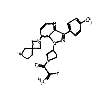 C=C(F)C(=O)N1CC(n2nc(-c3ccc(C(F)(F)F)cc3)c3nccc(N4CC5(CCNC5)C4)c32)C1